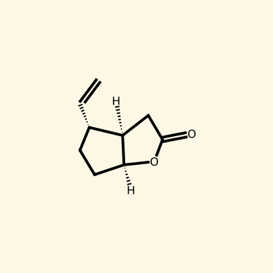 C=C[C@H]1CC[C@@H]2OC(=O)C[C@@H]21